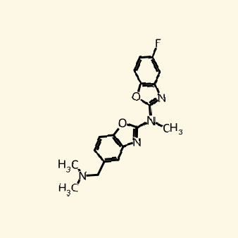 CN(C)Cc1ccc2oc(N(C)c3nc4cc(F)ccc4o3)nc2c1